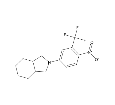 O=[N+]([O-])c1ccc(N2CC3CCCCC3C2)cc1C(F)(F)F